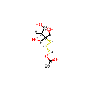 CCC(=O)OSSSC(CO)(CO)C(C)CO